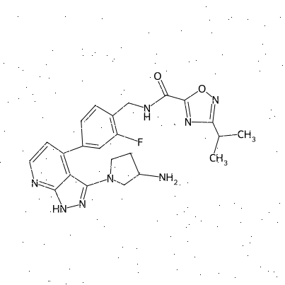 CC(C)c1noc(C(=O)NCc2ccc(-c3ccnc4[nH]nc(N5CCC(N)C5)c34)cc2F)n1